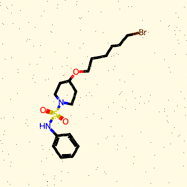 O=S(=O)(Nc1ccccc1)N1CCC(OCCCCCCBr)CC1